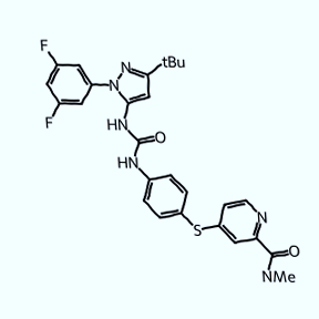 CNC(=O)c1cc(Sc2ccc(NC(=O)Nc3cc(C(C)(C)C)nn3-c3cc(F)cc(F)c3)cc2)ccn1